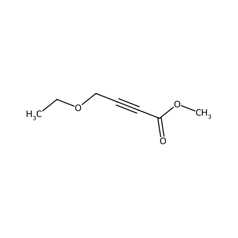 CCOCC#CC(=O)OC